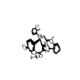 COc1ccccc1-c1nc(C(=O)O)c(C(Nc2cccc(Cl)c2F)c2ccc(Cl)cc2)n1C(C)C